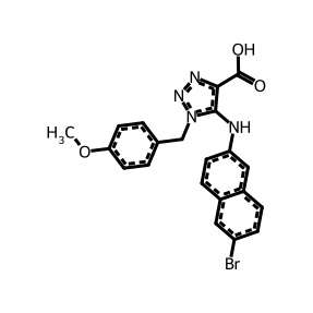 COc1ccc(Cn2nnc(C(=O)O)c2Nc2ccc3cc(Br)ccc3c2)cc1